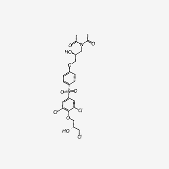 CC(=O)N(C[C@H](O)COc1ccc(S(=O)(=O)c2cc(Cl)c(OC[C@@H](O)CCl)c(Cl)c2)cc1)C(C)=O